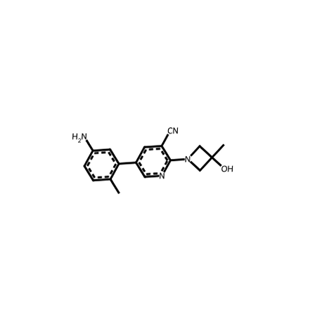 Cc1ccc(N)cc1-c1cnc(N2CC(C)(O)C2)c(C#N)c1